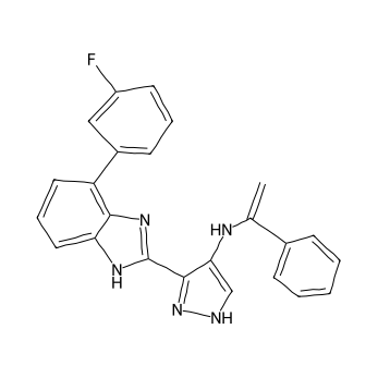 C=C(Nc1c[nH]nc1-c1nc2c(-c3cccc(F)c3)cccc2[nH]1)c1ccccc1